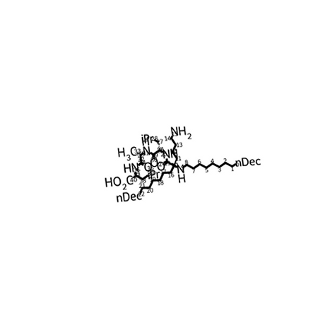 CCCCCCCCCCCCCCCCCCN[C@](CCCCN)(CCCCCCCCCCCCCCCC)C(=O)N[C@@H](CC(C)C)C(=O)N[C@@H](C)C(=O)N[C@@H](CC(C)C)C(=O)O